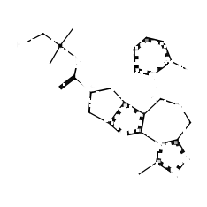 Cc1nnc2n1-c1sc3c(c1[C@H](c1ccccc1Cl)NC2)C[C@H](C(=O)NC(C)(C)CO)C3